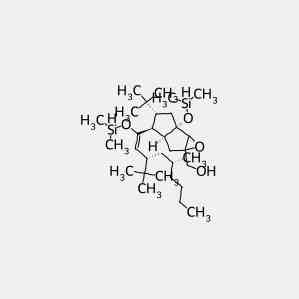 CCCC[C@@H](C)C[C@@H](C=C(O[SiH](C)C)[C@H]1[C@H](C(C)(C)C)C[C@@]2(O[SiH](C)C)C3OC3(CO)C[C@@H]12)C(C)(C)C